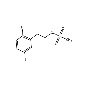 CS(=O)(=O)OCCc1cc(F)ccc1F